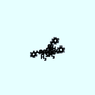 [SiH3]C(O[SiH2]OCCc1ccccc1)=C(O[SiH2]OCCc1ccccc1)O[SiH2]OCCc1ccccc1